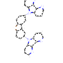 c1cnc2c3ncccc3n(-c3ccc4sc5ccc(-n6c7cccnc7c7ncccc76)cc5c4c3)c2c1